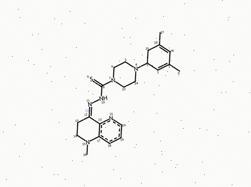 CC1=CC(N2CCN(C(=S)N/N=C3/CCN(C)c4cccnc43)CC2)CC(C)=C1